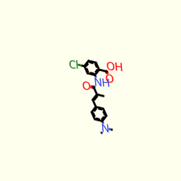 C/C(=C\c1ccc(N(C)C)cc1)C(=O)Nc1cc(Cl)ccc1C(=O)O